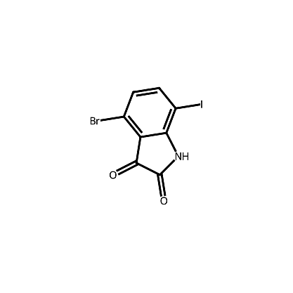 O=C1Nc2c(I)ccc(Br)c2C1=O